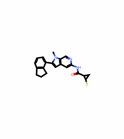 Cn1c(-c2cccc3c2CCC3)cc2cc(NC(=O)C3CC3F)ncc21